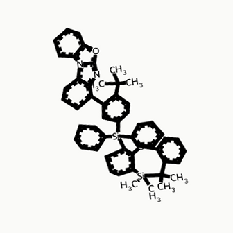 CC(C)(C)c1ccc([Si](c2ccccc2)(c2ccccc2)c2cccc3c2Sc2ccccc2C(C)(C)[Si]3(C)C)cc1-c1cccc2c1nc1oc3ccccc3n12